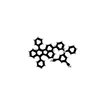 N#Cc1cc(C#N)cc(N(c2ccccc2)c2cccc(-c3ccc4c5c(cccc35)-c3c-4c(-c4ccccc4)c4ccccc4c3-c3ccccc3)c2)c1